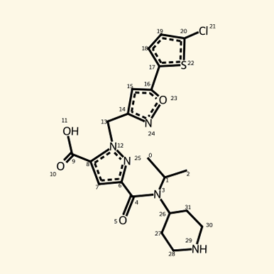 CC(C)N(C(=O)c1cc(C(=O)O)n(Cc2cc(-c3ccc(Cl)s3)on2)n1)C1CCNCC1